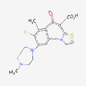 Cc1c(F)c(N2CCN(C)CC2)cc2c1c(=O)c(C(=O)O)c1sccn12